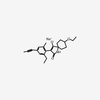 CC#Cc1cc(C)c(C2=C([O-])C3(CCC(OCC)CC3)NC2=O)c(CC)c1.[Na+]